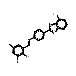 Cc1cccc2oc(-c3ccc(/N=C/c4cc(I)cc(I)c4O)cc3)nc12